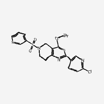 CC(C)Oc1nc(-c2ccc(Cl)nc2)nc2c1CN(S(=O)(=O)c1cccnc1)CC2